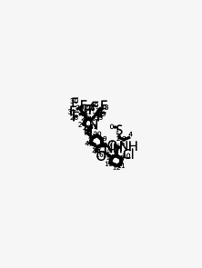 CSCC(C)NC(=O)c1c(Cl)cccc1C(=O)Nc1ccc(Cn2cc(C(F)(F)C(F)(F)F)c(C(F)(F)C(F)(F)F)n2)cc1C